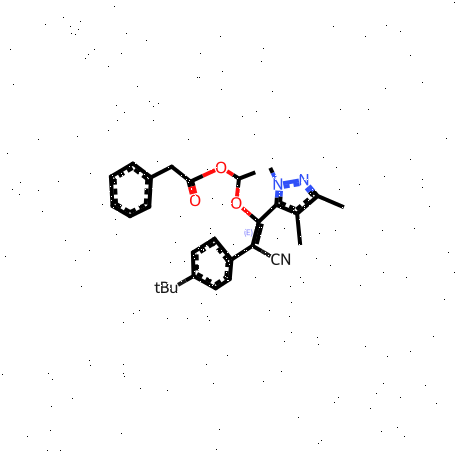 Cc1nn(C)c(/C(OC(C)OC(=O)Cc2ccccc2)=C(\C#N)c2ccc(C(C)(C)C)cc2)c1C